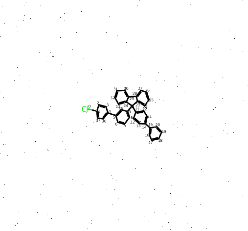 Clc1ccc(-c2cccc(C3(c4ccc(-c5ccccc5)cc4)c4ccccc4-c4ccccc43)c2)cc1